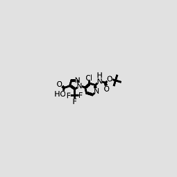 CC(C)(C)OC(=O)Nc1nccc(-n2ncc(C(=O)O)c2C(F)(F)F)c1Cl